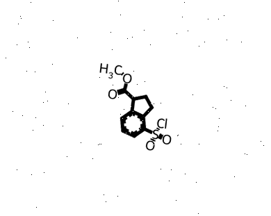 COC(=O)C1CCc2c1cccc2S(=O)(=O)Cl